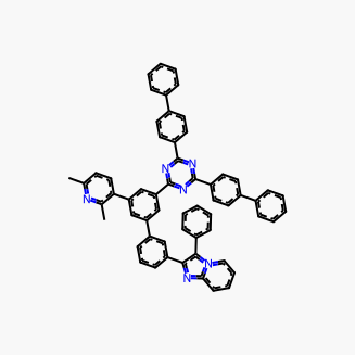 Cc1ccc(-c2cc(-c3cccc(-c4nc5ccccn5c4-c4ccccc4)c3)cc(-c3nc(-c4ccc(-c5ccccc5)cc4)nc(-c4ccc(-c5ccccc5)cc4)n3)c2)c(C)n1